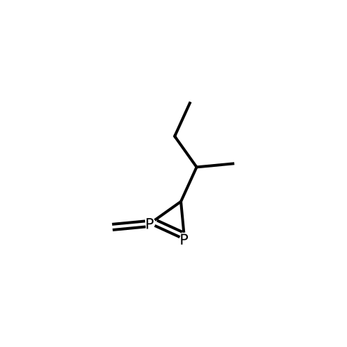 C=P1=PC1C(C)CC